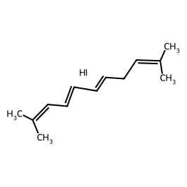 CC(C)=CC=CC=CCC=C(C)C.I